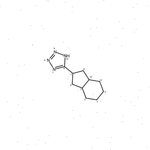 C1CCC2CC(c3nnn[nH]3)CC2C1